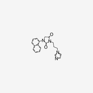 O=C1CN(c2cccc3ccccc23)C(=O)N1CCCn1ccnc1